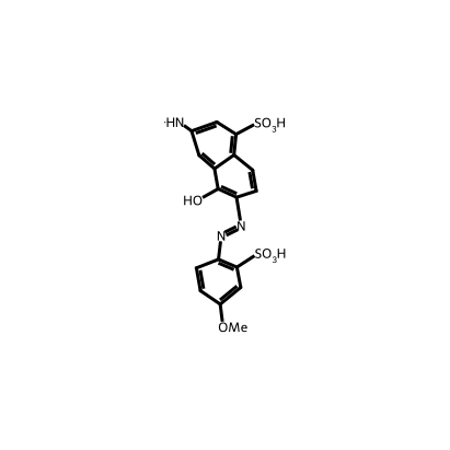 COc1ccc(N=Nc2ccc3c(S(=O)(=O)O)cc([NH])cc3c2O)c(S(=O)(=O)O)c1